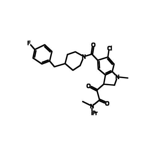 CC(C)N(C)C(=O)C(=O)C1CN(C)c2cc(Cl)c(C(=O)N3CCC(Cc4ccc(F)cc4)CC3)cc21